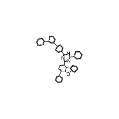 C1=C(c2ccccc2)C2Oc3ccccc3C2C(c2nc(-c3ccccc3)nc(-c3ccc(-c4cccc(-c5ccccc5)c4)cc3)n2)=C1